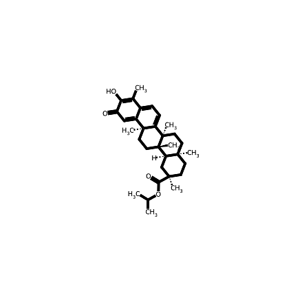 CC1=C(O)C(=O)C=C2C1=CC=C1[C@@]2(C)CC[C@@]2(C)[C@@H]3C[C@](C)(C(=O)OC(C)C)CC[C@]3(C)CC[C@]12C